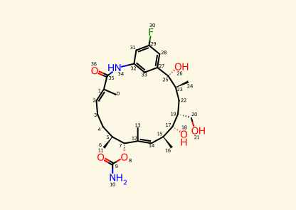 C/C1=C\CC[C@H](C)[C@@H](OC(N)=O)/C(C)=C/[C@H](C)[C@@H](O)[C@@H](CO)C[C@H](C)[C@@H](O)c2cc(F)cc(c2)NC1=O